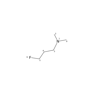 CN(C)CCCF